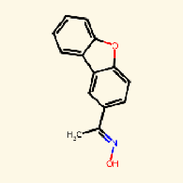 CC(=NO)c1ccc2oc3ccccc3c2c1